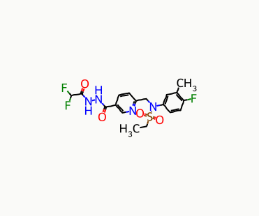 CCS(=O)(=O)N(Cc1ccc(C(=O)NNC(=O)C(F)F)cn1)c1ccc(F)c(C)c1